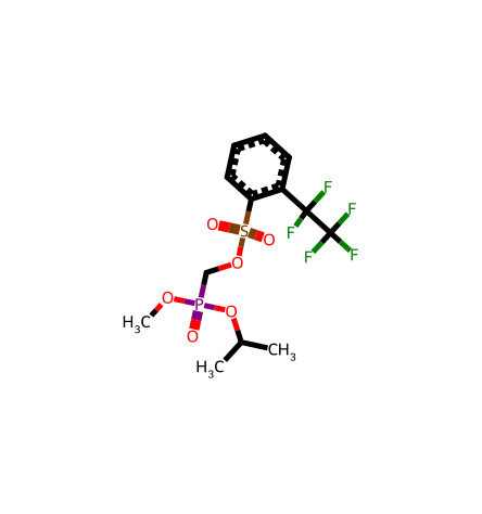 COP(=O)(COS(=O)(=O)c1ccccc1C(F)(F)C(F)(F)F)OC(C)C